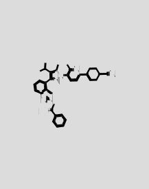 Cc1nc(C2=CCC(C#N)CC2)ccc1-n1nc(-c2cccc3nn(C[C@H](O)c4ccccc4)cc23)c(C(C)C)c1C